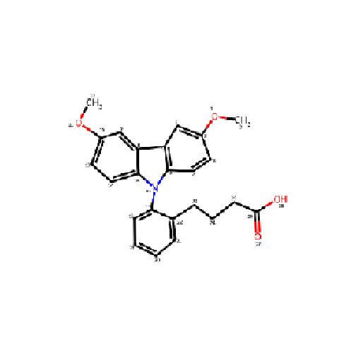 COc1ccc2c(c1)c1cc(OC)ccc1n2-c1ccccc1CCCC(=O)O